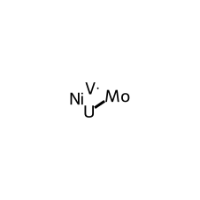 [Mo][U].[Ni].[V]